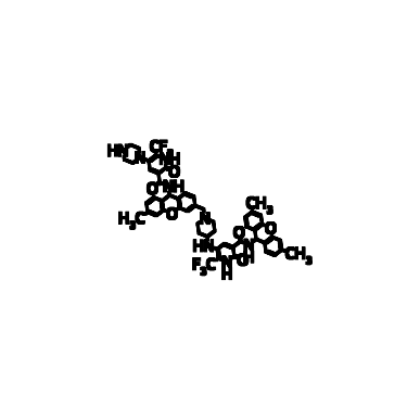 Cc1ccc2c(c1)Oc1cc(C)ccc1C2NC(=O)c1cc(NC2CCN(Cc3ccc4c(c3)Oc3cc(C)ccc3C4NC(=O)c3cc(N4CCNCC4)c(C(F)(F)F)[nH]c3=O)CC2)c(C(F)(F)F)[nH]c1=O